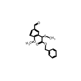 COc1ccc(C=O)cc1C(SC)C(=O)OCc1ccccc1